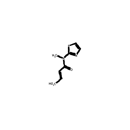 CN(C(=O)C=CC(=O)O)c1nccs1